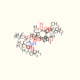 CC[Si](CC)(CC)OC(C(=O)O[C@H]1C[C@@]2(O)[C@@H](C)[C@@H]3[C@]4(C)CO[C@@H]4CC(O[Si](CC)(CC)CC)[C@@]3(C)[C@@H](O)[C@@H](O)C(=C1C)C2(C)C)[C@H](CC(C)C)NC(=O)OC(C)(C)C